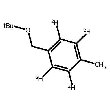 [2H]c1c([2H])c(COC(C)(C)C)c([2H])c([2H])c1C